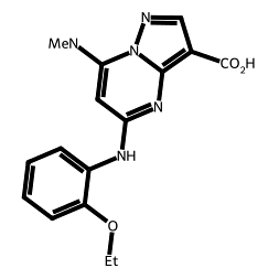 CCOc1ccccc1Nc1cc(NC)n2ncc(C(=O)O)c2n1